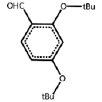 CC(C)(C)Oc1ccc(C=O)c(OC(C)(C)C)c1